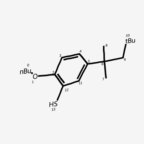 CCCCOc1ccc(C(C)(C)CC(C)(C)C)cc1S